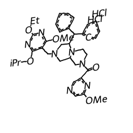 CCOc1nc(OC)c(CN2CC3CN(C(=O)c4cncc(OC)n4)CCN3C(C(c3ccccc3)c3ccccc3)C2)c(OC(C)C)n1.Cl.Cl